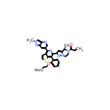 C=CC(=O)N1CCn2nc(-c3nc(-c4cnc5cn(C)nc5c4)c4ccsc4c3-c3c(F)cc(F)cc3OCCOC)cc2[C@H]1C